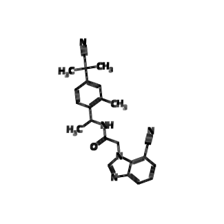 Cc1cc(C(C)(C)C#N)ccc1C(C)NC(=O)Cn1cnc2cccc(C#N)c21